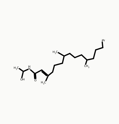 CC(=CC(=O)NC(C)O)CCCC(C)CCCC(C)CCCC(C)C